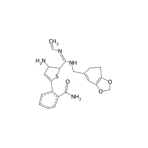 C=C/N=C(/NCC1=CC2=C(CC1)OCO2)C1SC(c2ccccc2C(N)=O)=CC1N